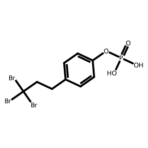 O=P(O)(O)Oc1ccc(CCC(Br)(Br)Br)cc1